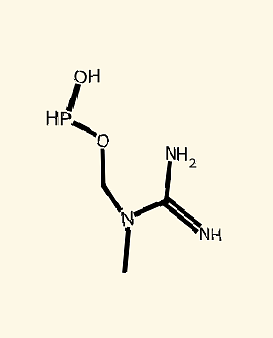 CN(COPO)C(=N)N